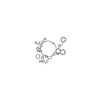 C[C@@]12C[C@H]1CC/C=C/Cc1c(nc3ccccc3c1OCc1ccccc1)OC1C[C@@H](C(=O)O)N(C1)C(=O)[C@H](C1CCCC1)NC(=O)O2